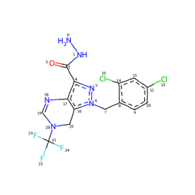 NNC(=O)c1nn(Cc2ccc(Cl)cc2Cl)c2c1N=CN(C(F)(F)F)C2